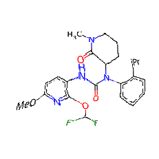 COc1ccc(NC(=O)N(c2ccccc2C(C)C)C2CCCN(C)C2=O)c(OC(F)F)n1